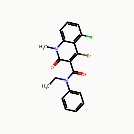 CCN(C(=O)c1c(Br)c2c(Cl)cccc2n(C)c1=O)c1ccccc1